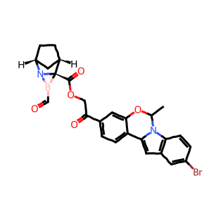 CC1Oc2cc(C(=O)COC(=O)[C@@]34B(C=O)N3[C@@H]3CC[C@H]4C3)ccc2-c2cc3cc(Br)ccc3n21